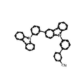 N#Cc1cccc(-c2cccc(-n3c4ccccc4c4cc(-c5cccc(-n6c7ccccc7c7ccccc76)c5)ccc43)c2)c1